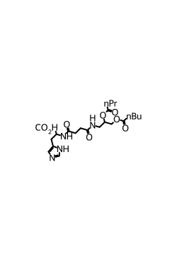 CCCCC(=O)OCC(CNC(=O)CCC(=O)NC(Cc1cnc[nH]1)C(=O)O)OC(=O)CCC